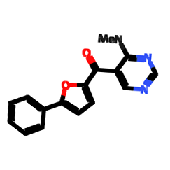 CNc1ncncc1C(=O)c1ccc(-c2ccccc2)o1